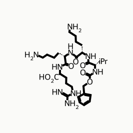 CC(C)[C@H](NC(=O)OCc1ccccc1)C(=O)N[C@@H](CCCCN)C(=O)N[C@@H](CCCCN)C(=O)N[C@@H](CCCNC(=N)N)C(=O)O